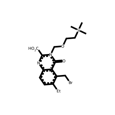 CCc1ccc2nc(C(=O)O)n(COCC[Si](C)(C)C)c(=O)c2c1CBr